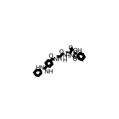 N=C(NC1CCCCC1)c1ccc(C(=O)NCCC(=O)NC[C@H](NS(=O)(=O)c2ccccc2)C(=O)O)cc1